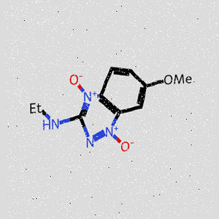 CCNc1n[n+]([O-])c2cc(OC)ccc2[n+]1[O-]